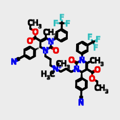 CCOC(=O)C1=C(C)N(c2cccc(C(F)(F)F)c2)C(=O)N(CCC[N+](C)(C)CCCN2C(=O)N(c3cccc(C(F)(F)F)c3)C(C)=C(C(=O)OCC)[C@H]2c2ccc(C#N)cc2)[C@@H]1c1ccc(C#N)cc1